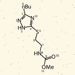 CCCCc1n[nH]c(SCCNC(=O)OC)n1